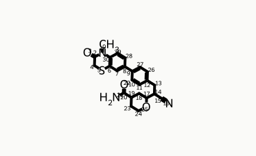 CN1C(=O)CSc2cc(-c3ccc(CC(C#N)C4CC(C(N)=O)CCO4)cc3)ccc21